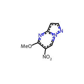 COc1nc2ccnn2cc1[N+](=O)[O-]